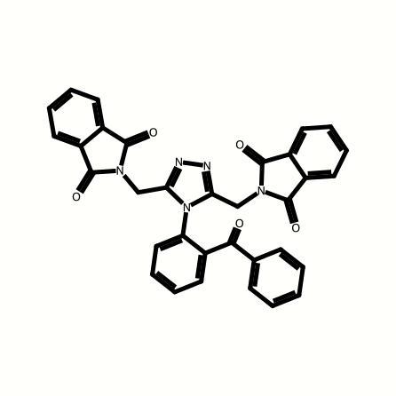 O=C(c1ccccc1)c1ccccc1-n1c(CN2C(=O)c3ccccc3C2=O)nnc1CN1C(=O)c2ccccc2C1=O